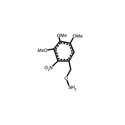 COc1cc(CO[SiH3])c([N+](=O)[O-])c(OC)c1OC